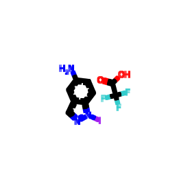 Nc1ccc2c(cnn2I)c1.O=C(O)C(F)(F)F